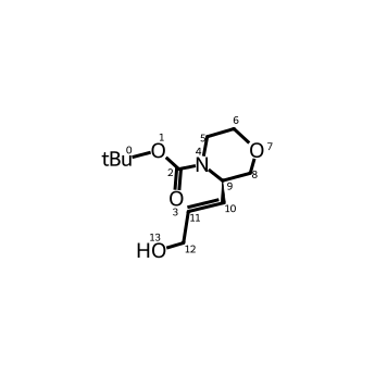 CC(C)(C)OC(=O)N1CCOC[C@H]1C=CCO